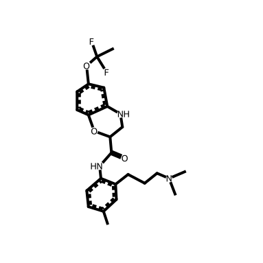 Cc1ccc(NC(=O)C2CNc3cc(OC(C)(F)F)ccc3O2)c(CCCN(C)C)c1